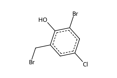 Oc1c(Br)cc(Cl)cc1CBr